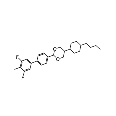 CCCCC1CCC(C2COC(c3ccc(-c4cc(F)c(C)c(F)c4)cc3)OC2)CC1